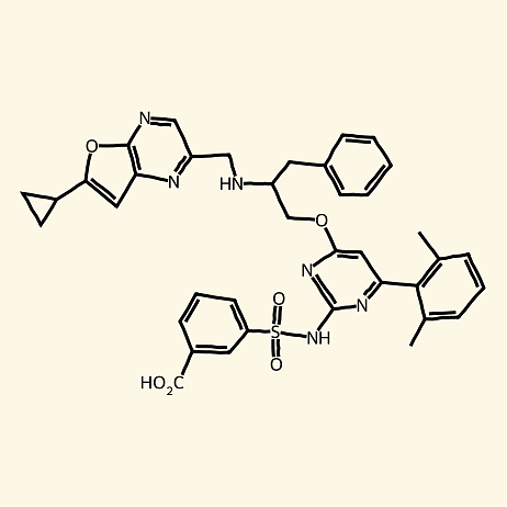 Cc1cccc(C)c1-c1cc(OCC(Cc2ccccc2)NCc2cnc3oc(C4CC4)cc3n2)nc(NS(=O)(=O)c2cccc(C(=O)O)c2)n1